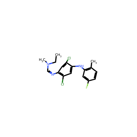 CCN(C)/C=N\c1cc(Cl)c(Nc2cc(F)ccc2C)cc1Cl